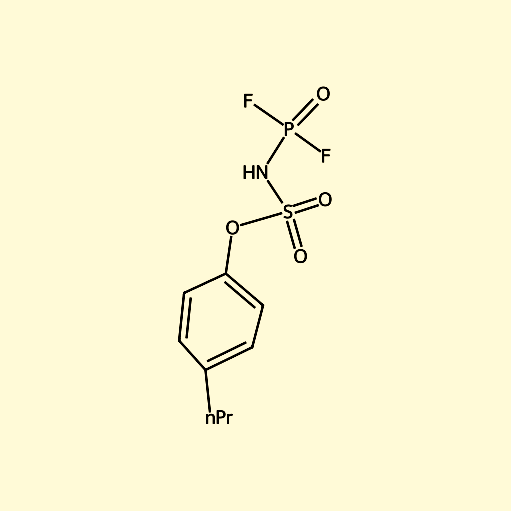 CCCc1ccc(OS(=O)(=O)NP(=O)(F)F)cc1